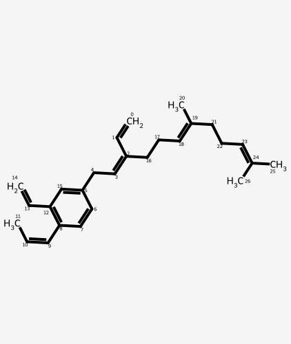 C=C/C(=C\Cc1ccc(/C=C\C)c(C=C)c1)CC/C=C(\C)CCC=C(C)C